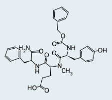 CN(C(=O)[C@H](Cc1ccc(O)cc1)NC(=O)OCc1ccccc1)[C@@H](CCC(=O)O)C(=O)N[C@@H](Cc1ccccc1)C(N)=O